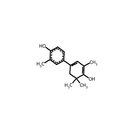 CC1=C(O)C(C)(C)CC(c2ccc(O)c(C)c2)=C1